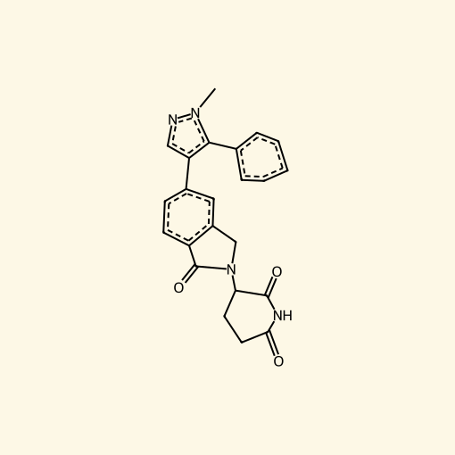 Cn1ncc(-c2ccc3c(c2)CN(C2CCC(=O)NC2=O)C3=O)c1-c1ccccc1